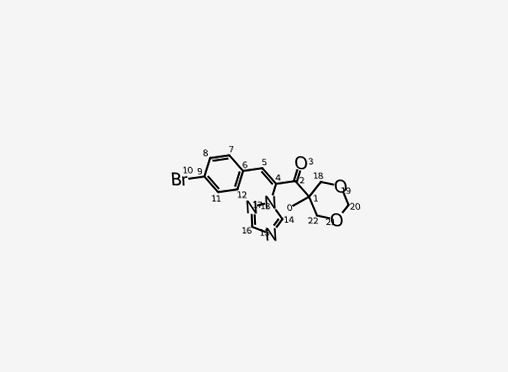 CC1(C(=O)C(=Cc2ccc(Br)cc2)n2cncn2)COCOC1